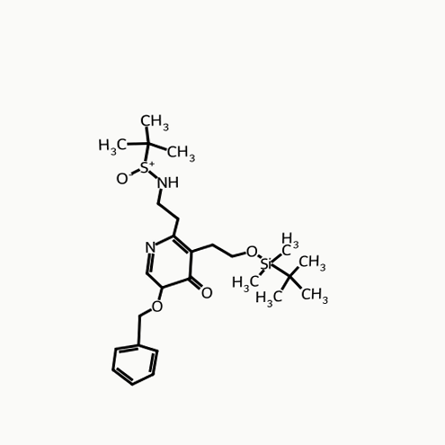 CC(C)(C)[S+]([O-])NCCC1=C(CCO[Si](C)(C)C(C)(C)C)C(=O)C(OCc2ccccc2)C=N1